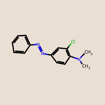 CN(C)c1ccc(N=Nc2ccccc2)cc1Cl